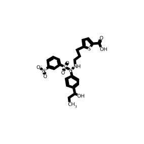 CCC(O)c1ccc(N(NCCCc2ccc(C(=O)O)s2)S(=O)(=O)c2cccc([N+](=O)[O-])c2)cc1